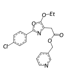 CCOc1oc(-c2ccc(Cl)cc2)nc1CC(=O)OCc1cccnc1